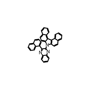 c1ccc2c(-c3nc4ccccc4nc3-n3c4ccc5ccccc5c4c4c5ccccc5ccc43)cccc2c1